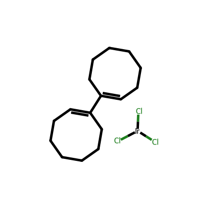 C1=C(C2=CCCCCCC2)CCCCCC1.[Cl][Ir]([Cl])[Cl]